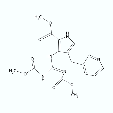 COC(=O)N=C(NC(=O)OC)Nc1c(Cc2cccnc2)c[nH]c1C(=O)OC